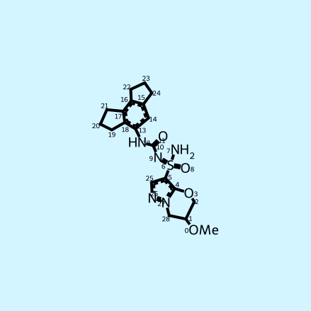 COC1COc2c(S(N)(=O)=NC(=O)Nc3cc4c(c5c3CCC5)CCC4)cnn2C1